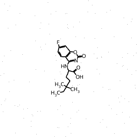 CCC(C)(C)CCC(Nc1nc(=O)oc2cc(F)ccc12)C(=O)O